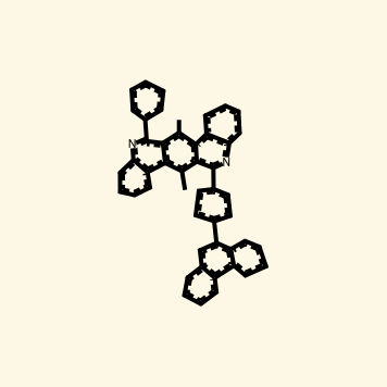 Cc1c2c(-c3ccc(-c4cc5ccccc5c5ccccc45)cc3)nc3ccccc3c2c(C)c2c(-c3ccccc3)nc3ccccc3c12